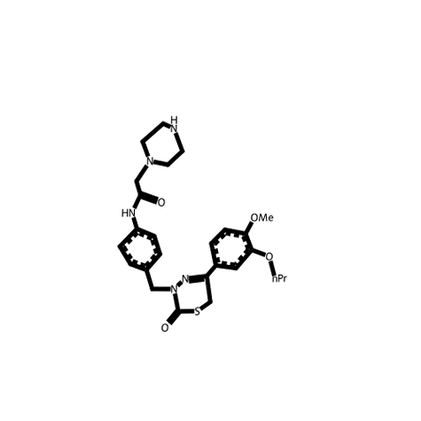 CCCOc1cc(C2=NN(Cc3ccc(NC(=O)CN4CCNCC4)cc3)C(=O)SC2)ccc1OC